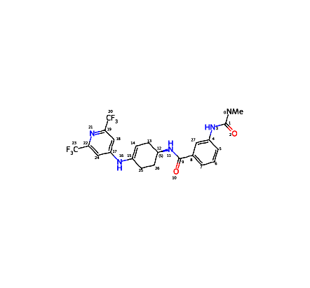 CNC(=O)Nc1cccc(C(=O)N[C@@H]2CC=C(Nc3cc(C(F)(F)F)nc(C(F)(F)F)c3)CC2)c1